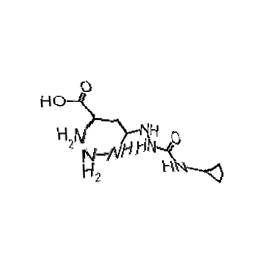 NNC(CC(N)C(=O)O)NNC(=O)NC1CC1